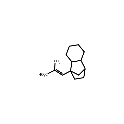 CC(=CC12CCC(C1)C1CCCCC12)C(=O)O